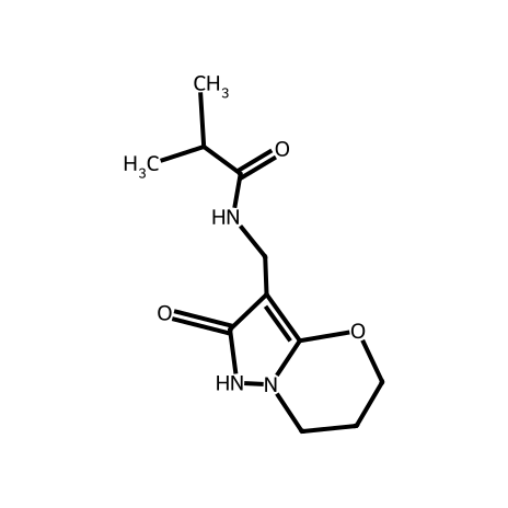 CC(C)C(=O)NCc1c2n([nH]c1=O)CCCO2